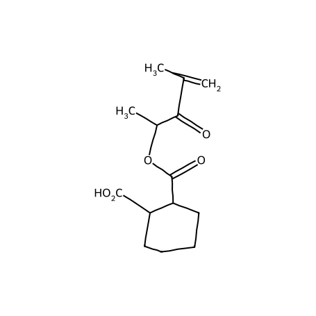 C=C(C)C(=O)C(C)OC(=O)C1CCCCC1C(=O)O